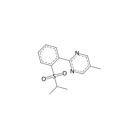 Cc1cnc(-c2ccccc2S(=O)(=O)C(C)C)nc1